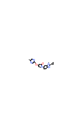 Cc1cnc(COc2ccn(-c3ccc4nc(C5CC5)n(C)c4c3)c(=O)c2)cn1